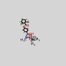 CN(CC(O)c1ccc(OC(=O)c2c(F)cccc2F)cc1)C(=O)OC(C)(C)C